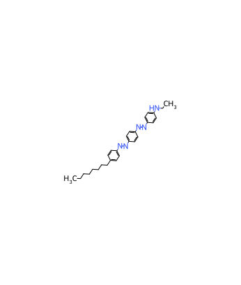 CCCCCCCCc1ccc(N=Nc2ccc(N=Nc3ccc(NCC)cc3)cc2)cc1